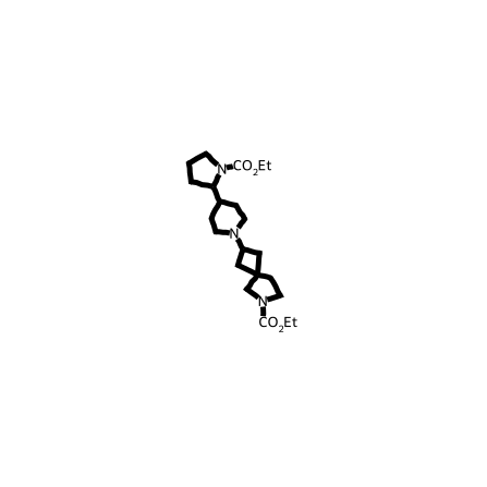 CCOC(=O)N1CCC2(CC(N3CCC(C4CCCN4C(=O)OCC)CC3)C2)C1